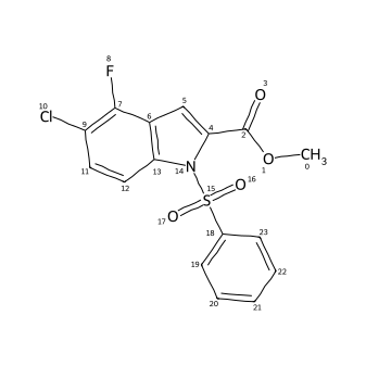 COC(=O)c1cc2c(F)c(Cl)ccc2n1S(=O)(=O)c1ccccc1